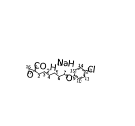 O=C(O)[C@@]1(CCCCCCOc2ccc(Cl)cc2)CO1.[NaH]